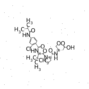 CC(C)C(=O)Nc1ccc(C(=O)N[C@H](C(=O)N2CCC[C@H]2C(=O)N[C@H](C=O)CC(=O)O)C(C)(C)C)c(Cl)c1